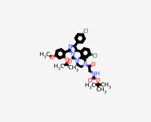 COc1ccc(C2=NC(c3ccc(Cl)cc3)C(c3ccc(Cl)cc3)N2C(=O)N2CCN(C(=O)CNC(=O)OC(C)(C)C)CC2)c(OC(C)C)c1